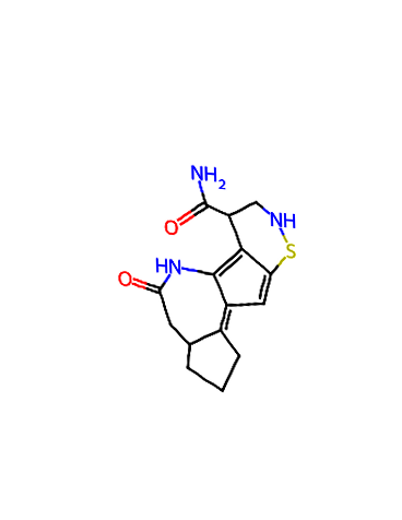 NC(=O)C1CNSC2=CC3=C4CCCC4CC(=O)NC3=C21